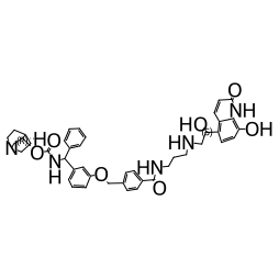 O=C(NC(c1ccccc1)c1cccc(OCc2ccc(C(=O)NCCCNC[C@@H](O)c3ccc(O)c4[nH]c(=O)ccc34)cc2)c1)O[C@H]1CN2CCC1CC2